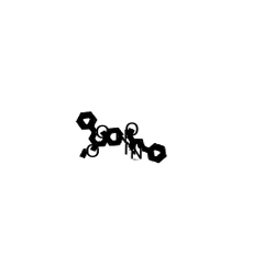 CCOC1CC(c2ccccc2)OC2(CCN(C(=O)c3cc(-c4ccccc4)n(C)n3)CC2)C1